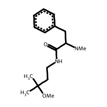 CNC(Cc1ccccc1)C(=O)NCCC(C)(C)OC